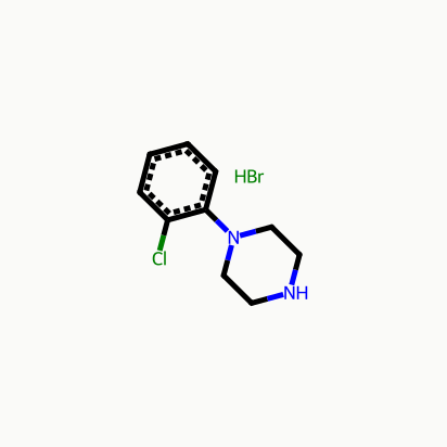 Br.Clc1ccccc1N1CCNCC1